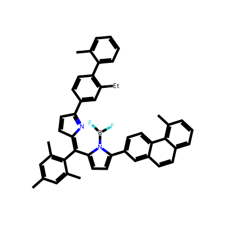 CCc1cc(C2=N/C(=C(/c3c(C)cc(C)cc3C)c3ccc(-c4ccc5c(ccc6cccc(C)c65)c4)n3B(F)F)C=C2)ccc1-c1ccccc1C